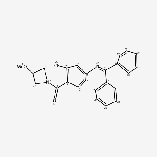 COC1CN(C(=O)c2ncc(N=C(c3ccccc3)c3ccccc3)cc2Cl)C1